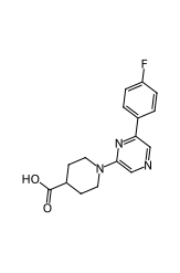 O=C(O)C1CCN(c2cncc(-c3ccc(F)cc3)n2)CC1